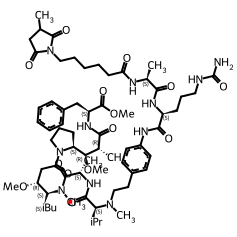 CC[C@H](C)[C@@H]([C@@H](CC(=O)N1CCC[C@H]1[C@H](OC)[C@@H](C)C(=O)N[C@@H](Cc1ccccc1)C(=O)OC)OC)N(C)C(=O)[C@H](C)NC(=O)[C@H](C(C)C)N(C)CCc1ccc(NC(=O)[C@H](CCCNC(N)=O)NC(=O)[C@H](C)NC(=O)CCCCCN2C(=O)CC(C)C2=O)cc1